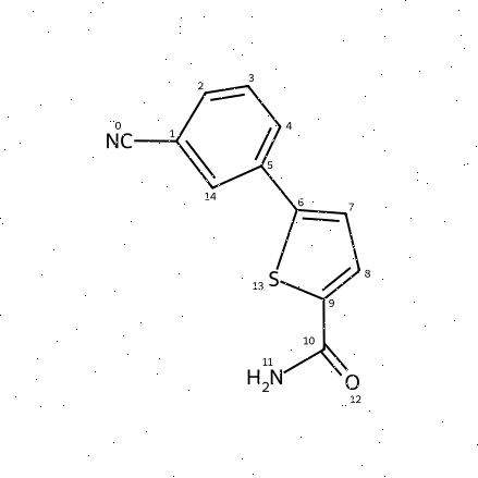 N#Cc1cccc(-c2ccc(C(N)=O)s2)c1